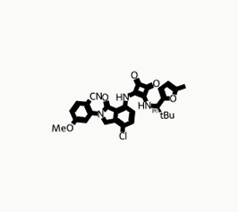 COc1ccc(C#N)c(N2Cc3c(Cl)ccc(Nc4c(N[C@@H](c5ccc(C)o5)C(C)(C)C)c(=O)c4=O)c3C2=O)c1